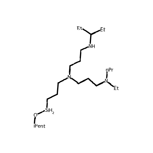 CCCC(C)O[SiH2]CCCN(CCCNC(CC)CC)CCCN(CC)CCC